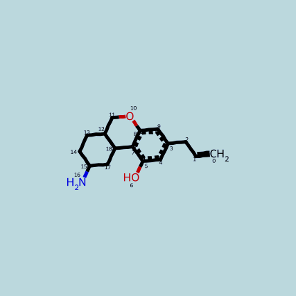 C=CCc1cc(O)c2c(c1)OCC1CCC(N)CC21